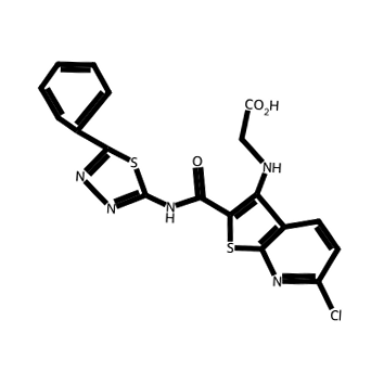 O=C(O)CNc1c(C(=O)Nc2nnc(-c3ccccc3)s2)sc2nc(Cl)ccc12